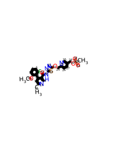 COc1cccc(F)c1-c1cc(C)ncc1C(=O)Nc1nnc(OCc2ccc(COS(C)(=O)=O)cn2)s1